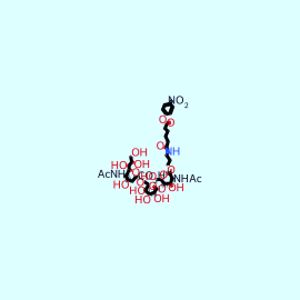 CC(=O)N[C@H]1C(O)[C@H](O[C@@H]2OC(CO[C@]3(C(=O)O)C[C@@H](O)[C@@H](NC(C)=O)C(C(O)C(O)CO)O3)[C@H](O)C(O)[C@@H]2O)C(CO)O[C@H]1OCCCNC(=O)CCCCC(=O)Oc1ccc([N+](=O)[O-])cc1